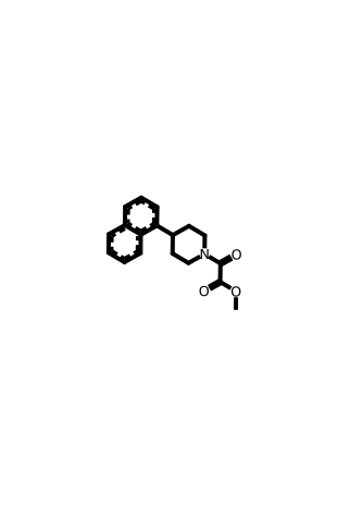 COC(=O)C(=O)N1CCC(c2cccc3ccccc23)CC1